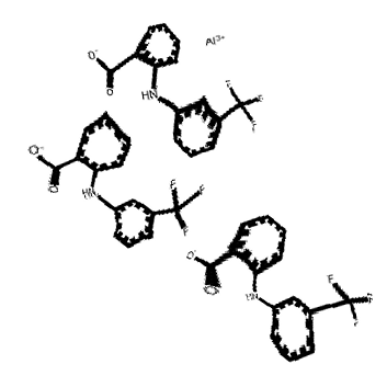 O=C([O-])c1ccccc1Nc1cccc(C(F)(F)F)c1.O=C([O-])c1ccccc1Nc1cccc(C(F)(F)F)c1.O=C([O-])c1ccccc1Nc1cccc(C(F)(F)F)c1.[Al+3]